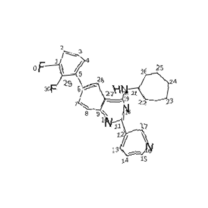 Fc1cccc(-c2ccc3nc(-c4cccnc4)nc(NC4CCCCC4)c3c2)c1F